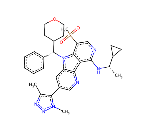 Cc1nnn(C)c1-c1cnc2c3c(N[C@@H](C)C4CC4)ncc(S(C)(=O)=O)c3n([C@H](c3ccccc3)C3CCOCC3)c2c1